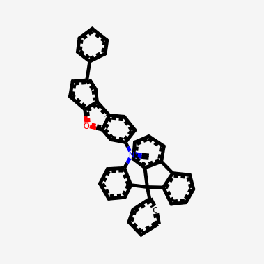 C=[N+](c1ccc2c(c1)oc1ccc(-c3ccccc3)cc12)c1ccccc1C1(c2ccccc2)c2ccccc2-c2ccccc21